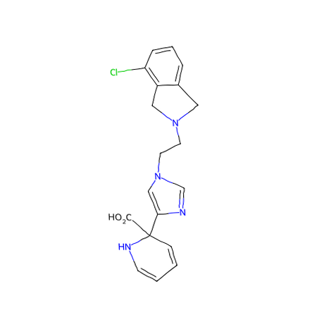 O=C(O)C1(c2cn(CCN3Cc4cccc(Cl)c4C3)cn2)C=CC=CN1